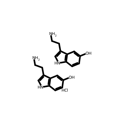 Cl.NCCc1c[nH]c2ccc(O)cc12.NCCc1c[nH]c2ccc(O)cc12